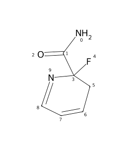 NC(=O)C1(F)CC=CC=N1